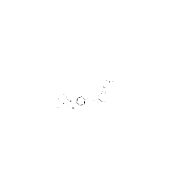 COC1(CS(=O)(=O)c2ccc(OC/C(=C/F)CNC(=O)OC(C)(C)C)cc2)CCOCC1